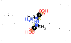 CCn1/c(=N\N=c2\sc3cc(S(=O)(=O)O)ccc3n2CC)sc2cc(S(=O)(=O)O)ccc21.N